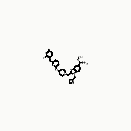 NC(=NO)c1ccc2c(c1)nc(CN1CCC(Oc3cccc(Cc4ccc(Cl)cc4F)n3)CC1)n2CC1CCO1